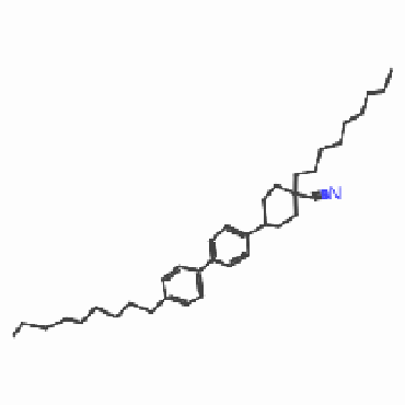 CCCCCCCCCc1ccc(-c2ccc(C3CCC(C#N)(CCCCCCCCC)CC3)cc2)cc1